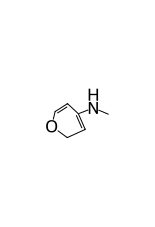 CNC1=CCOC=C1